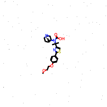 COCCOc1ccc(-c2nc(C(C)(C)N(C(=O)O)C3CN4CCC3CC4)cs2)cc1